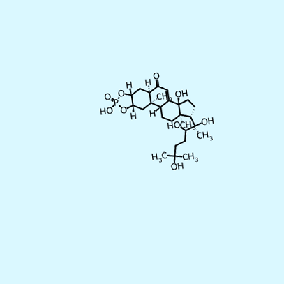 CC(C)(O)CCC(O)[C@](C)(O)[C@H]1CC[C@@]2(O)C3=CC(=O)[C@@H]4C[C@H]5OP(=O)(O)O[C@H]5C[C@]4(C)[C@H]3CC[C@]12C